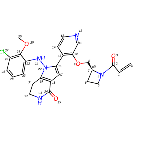 C=CC(=O)N1CC[C@H]1COc1cnccc1-c1cc2c(n1Nc1cccc(Cl)c1OC)CCNC2=O